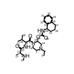 CCN1CCN(C(=O)[C@@H](NC(=O)[C@H](C)NC)C(C)C)[C@@H](OC(=O)NC2CCCc3ccccc32)C1